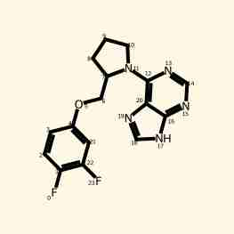 Fc1ccc(OCC2CCCN2c2ncnc3[nH]cnc23)cc1F